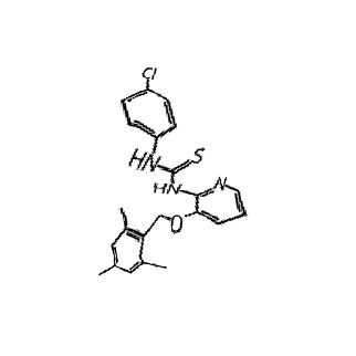 Cc1cc(C)c(COc2cccnc2NC(=S)Nc2ccc(Cl)cc2)c(C)c1